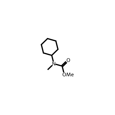 COC(=O)N(C)C1CCCCC1